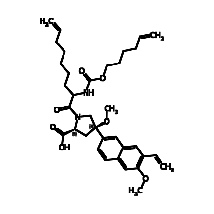 C=CCCCCCC(NC(=O)OCCCCC=C)C(=O)N1C[C@](OC)(c2ccc3cc(OC)c(C=C)cc3c2)C[C@H]1C(=O)O